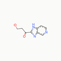 [O]CCC(=O)c1nc2cnccc2[nH]1